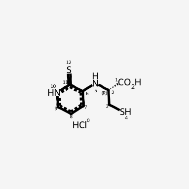 Cl.O=C(O)[C@H](CS)Nc1ccc[nH]c1=S